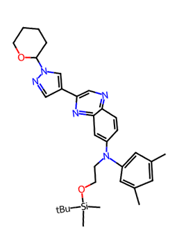 Cc1cc(C)cc(N(CCO[Si](C)(C)C(C)(C)C)c2ccc3ncc(-c4cnn(C5CCCCO5)c4)nc3c2)c1